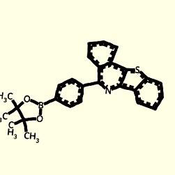 CC1(C)OB(c2ccc(-c3nc4c5ccccc5sc4c4ccccc34)cc2)OC1(C)C